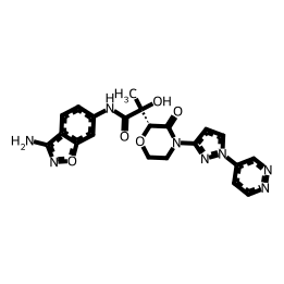 CC(O)(C(=O)Nc1ccc2c(N)noc2c1)[C@H]1OCCN(c2ccn(-c3ccnnc3)n2)C1=O